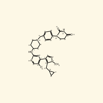 Cn1ncc(-c2nc(NC3CCN(Cc4ccc(N5CCC(=O)NC5=O)cc4)CC3)ncc2Cl)c1CC1CC1